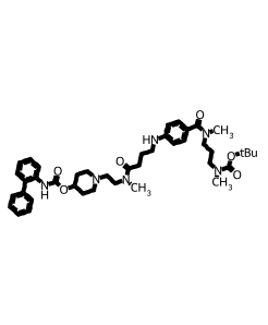 CN(CCN1CCC(OC(=O)Nc2ccccc2-c2ccccc2)CC1)C(=O)CCCNc1ccc(C(=O)N(C)CCCN(C)C(=O)OC(C)(C)C)cc1